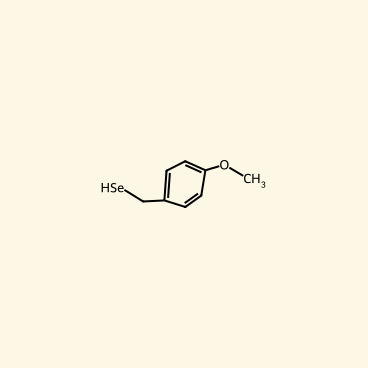 COc1ccc(C[SeH])cc1